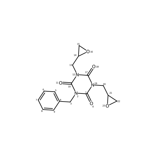 O=c1n(Cc2ccccc2)c(=O)n(CC2CO2)c(=O)n1CC1CO1